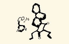 C=CCC1C(=O)c2c(ccc3c2ccc2ccccc23)C(CC=C)C1=O.O=C(O)c1cncnc1